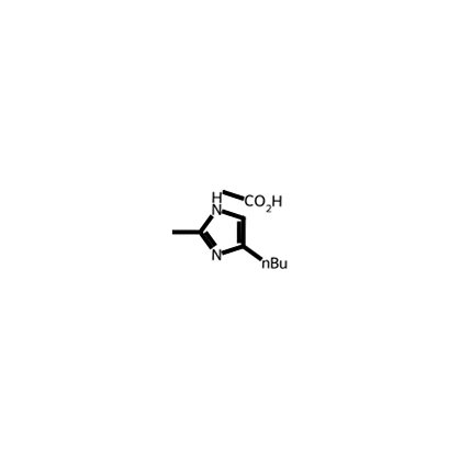 CC(=O)O.CCCCc1c[nH]c(C)n1